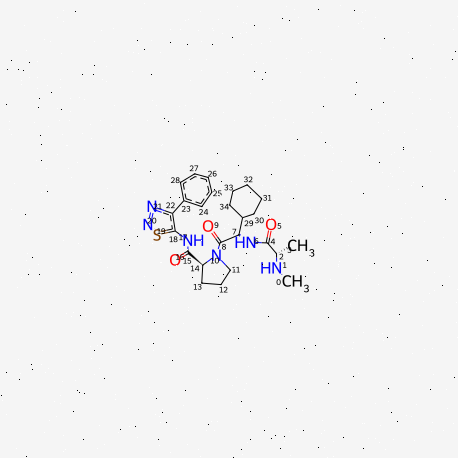 CN[C@@H](C)C(=O)N[C@@H](C(=O)N1CCC[C@H]1C(=O)Nc1snnc1-c1ccccc1)C1CCCCC1